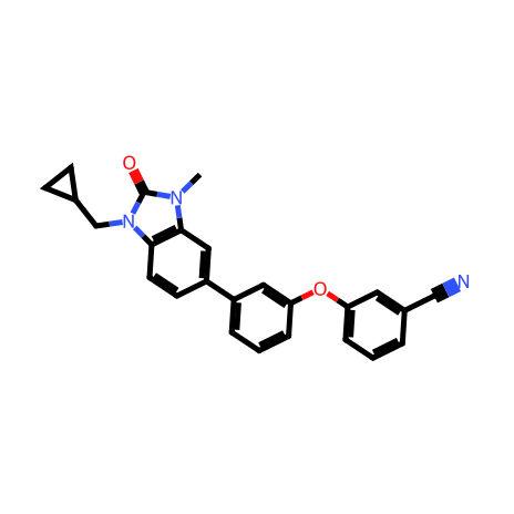 Cn1c(=O)n(CC2CC2)c2ccc(-c3cccc(Oc4cccc(C#N)c4)c3)cc21